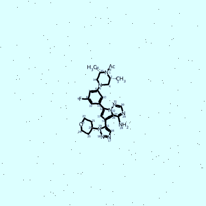 CC(=O)N1[C@H](C)CN(c2cc(F)cc(-c3cc(-c4cnnn4C4CCOCC4)c4c(N)ncnn34)c2)C[C@@H]1C